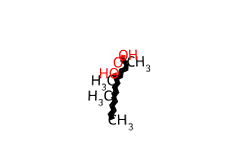 CCCCC/C(C)=C/CCC(C)(O)CCCC(C)C(=O)O